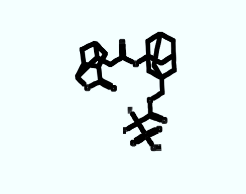 O=C(CC1C2CC3C(=O)OC1C3C2)OC12CC3CC(CC(COC(=O)C(F)(F)S(=O)(=O)O)(C3)C1)C2